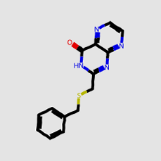 O=c1[nH]c(CSCc2ccccc2)nc2nccnc12